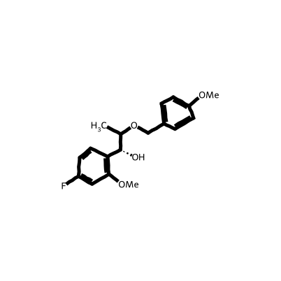 COc1ccc(COC(C)[C@H](O)c2ccc(F)cc2OC)cc1